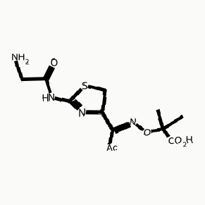 CC(=O)/C(=N\OC(C)(C)C(=O)O)C1CSC(NC(=O)CN)=N1